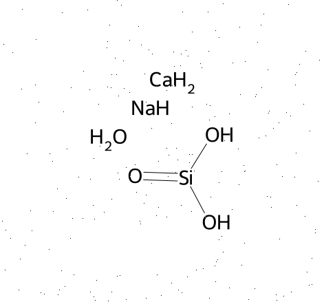 O.O=[Si](O)O.[CaH2].[NaH]